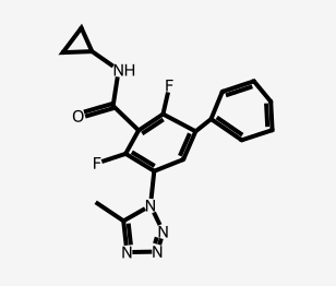 Cc1nnnn1-c1cc(-c2ccccc2)c(F)c(C(=O)NC2CC2)c1F